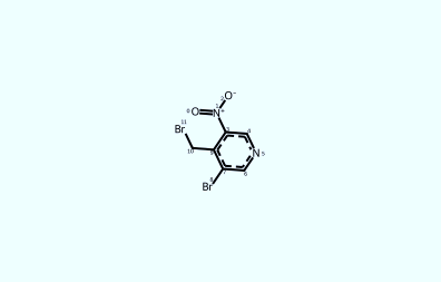 O=[N+]([O-])c1cncc(Br)c1CBr